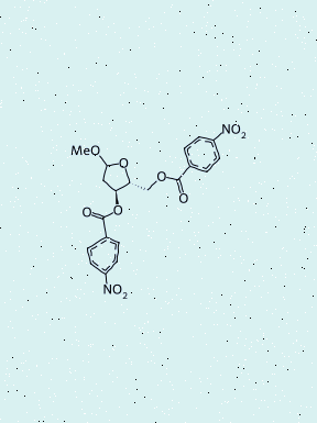 COC1C[C@H](OC(=O)c2ccc([N+](=O)[O-])cc2)[C@@H](COC(=O)c2ccc([N+](=O)[O-])cc2)O1